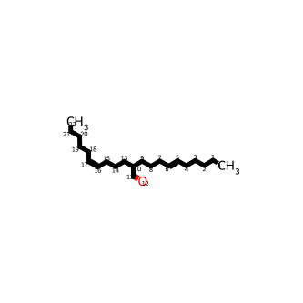 CCCCCC=CCCCC(C=O)CCC/C=C\CCCCC